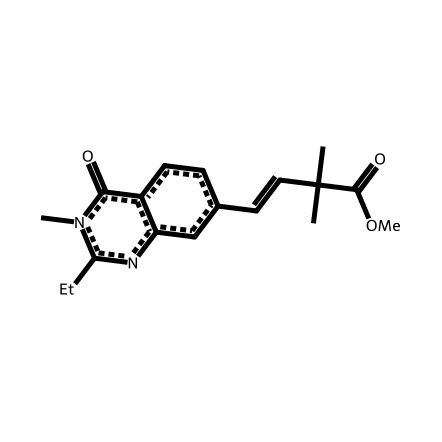 CCc1nc2cc(/C=C/C(C)(C)C(=O)OC)ccc2c(=O)n1C